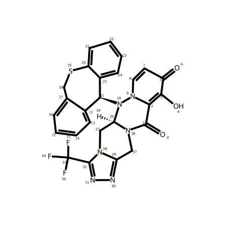 O=C1c2c(O)c(=O)ccn2N([C@H]2c3ccccc3CSc3ccccc32)[C@@H]2Cn3c(nnc3C(F)(F)F)CN12